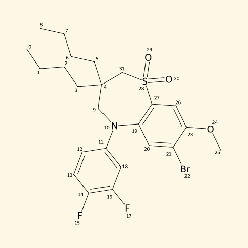 CCCCC1(CCCC)CN(c2ccc(F)c(F)c2)c2cc(Br)c(OC)cc2S(=O)(=O)C1